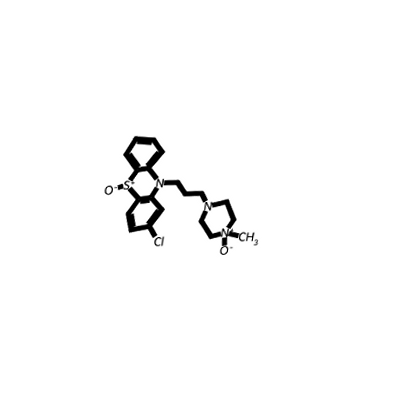 C[N+]1([O-])CCN(CCCN2c3ccccc3[S+]([O-])c3ccc(Cl)cc32)CC1